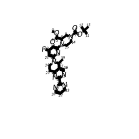 COC(=O)C1CN(C(=O)OC(C)(C)C)CCN1c1cc(F)cc(N2CCc3nc(-c4ncccn4)ncc3C2C)n1